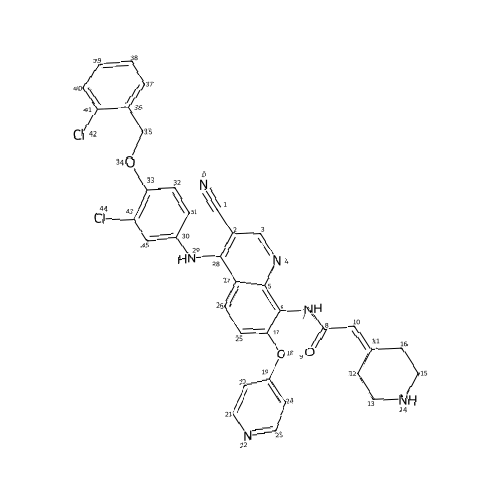 N#Cc1cnc2c(NC(=O)C=C3CCNCC3)c(Oc3ccncc3)ccc2c1Nc1ccc(OCc2ccccc2Cl)c(Cl)c1